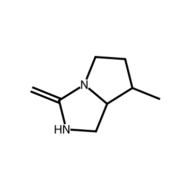 C=C1NCC2C(C)CCN12